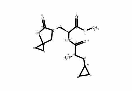 COC(=O)[C@H](C[C@@H]1CC2(CC2)NC1=O)NC(=O)[C@@H](N)CC1CC1